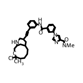 CNC(=O)c1cn(-c2cccc(C(=O)Nc3cccc(C#CC4CNC5CCC(C)(Cl)CCCCC(C4)C5)c3)c2)cn1